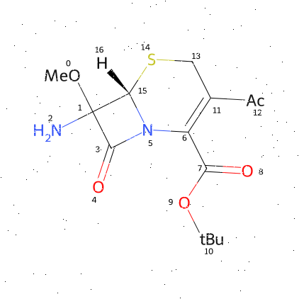 COC1(N)C(=O)N2C(C(=O)OC(C)(C)C)=C(C(C)=O)CS[C@H]21